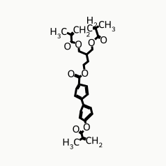 C=C(C)C(=O)OCC(CCOC(=O)c1ccc(-c2ccc(OC(=O)C(=C)C)cc2)cc1)COC(=O)C(=C)C